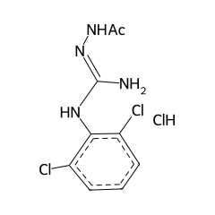 CC(=O)N/N=C(\N)Nc1c(Cl)cccc1Cl.Cl